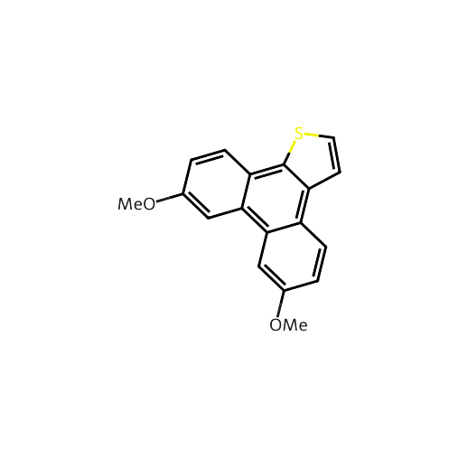 COc1ccc2c(c1)c1cc(OC)ccc1c1sccc21